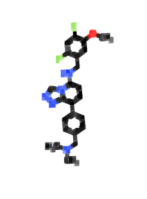 COc1cc(CNc2ccc(-c3ccc(CN(C)C)cc3)c3nncn23)c(F)cc1F